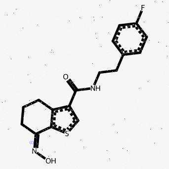 O=C(NCCc1ccc(F)cc1)c1csc2c1CCC/C2=N/O